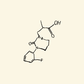 CC(CN1CCCN(c2ccccc2F)C1=O)C(=O)O